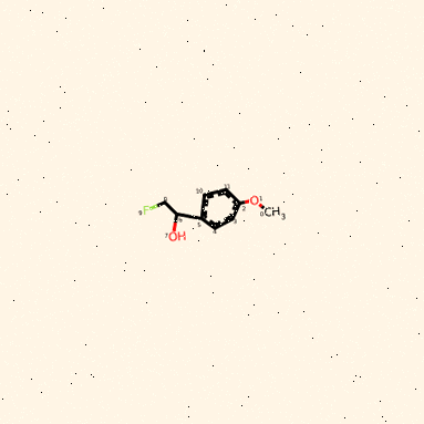 COc1ccc(C(O)CF)cc1